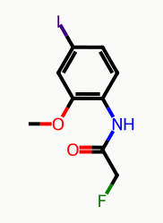 COc1cc(I)ccc1NC(=O)CF